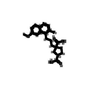 COc1ccc2ncc(F)c(CCCC3(C(=O)O)CCN(C(=O)O)C3)c2c1